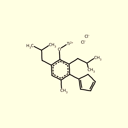 Cc1cc(CC(C)C)c([O][Ti+2])c(CC(C)C)c1C1=CC=CC1.[Cl-].[Cl-]